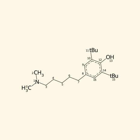 CN(C)CCCCCc1cc(C(C)(C)C)c(O)c(C(C)(C)C)c1